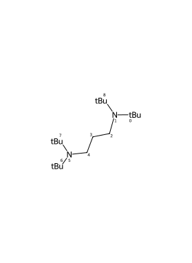 CC(C)(C)N(CCCN(C(C)(C)C)C(C)(C)C)C(C)(C)C